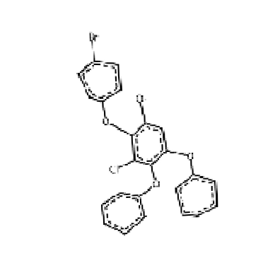 [O]c1cc(Oc2ccccc2)c(Oc2ccccc2)c(Cl)c1Oc1ccc(Br)cc1